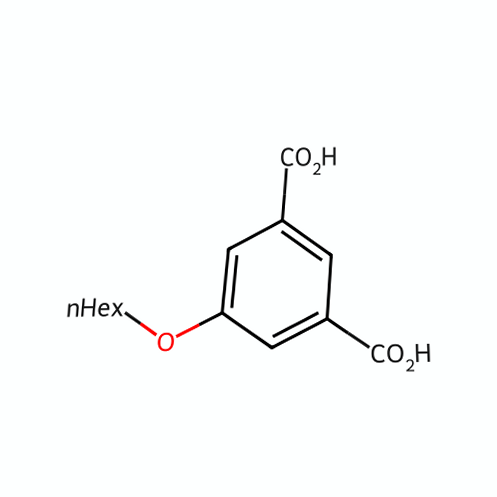 CCCCCCOc1cc(C(=O)O)cc(C(=O)O)c1